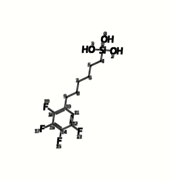 O[Si](O)(O)CCCCCCc1cc(F)c(F)c(F)c1F